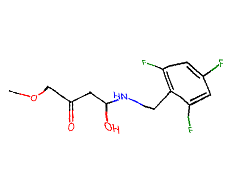 COCC(=O)CC(O)NCc1c(F)cc(F)cc1F